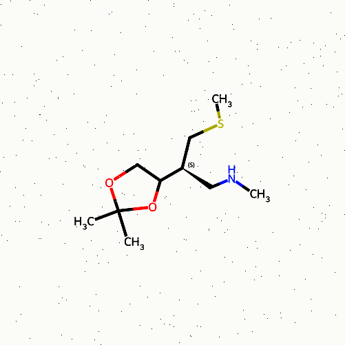 CNC[C@H](CSC)C1COC(C)(C)O1